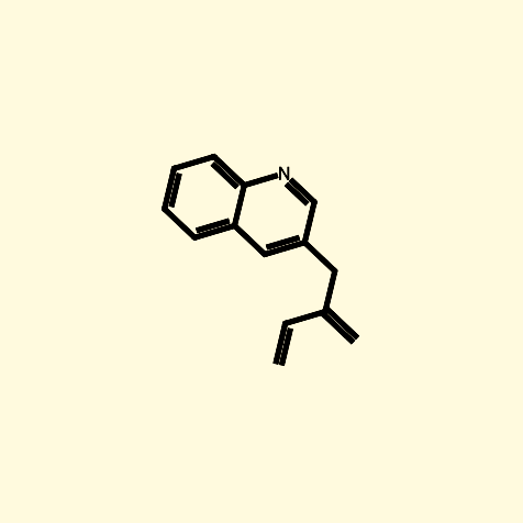 C=CC(=C)Cc1cnc2ccccc2c1